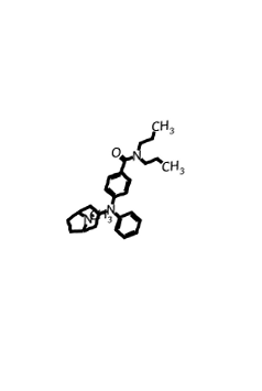 CCCN(CCC)C(=O)c1ccc(N(c2ccccc2)C2CC3CCC(C2)N3C)cc1